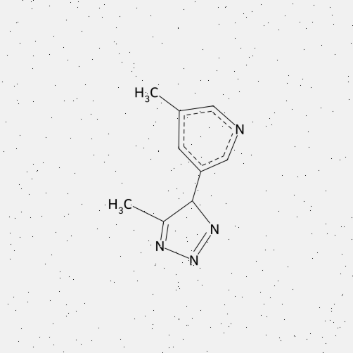 CC1=NN=NC1c1cncc(C)c1